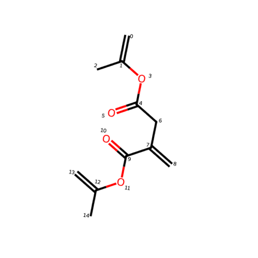 C=C(C)OC(=O)CC(=C)C(=O)OC(=C)C